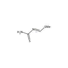 CS/C=N/C(N)=S